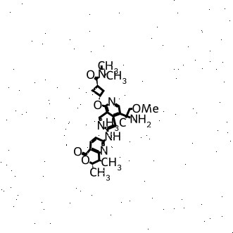 COCC(C)(N)c1cnc(O[C@H]2C[C@H](C(=O)N(C)C)C2)c2cnc(Nc3ccc4c(n3)[C@@H](C)[C@H](C)OC4=O)cc12